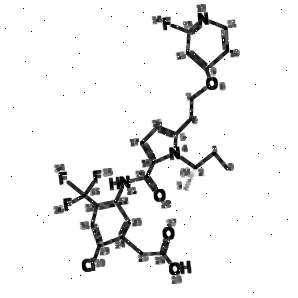 CC[C@H](C)n1c(CCOc2ccnc(F)c2)ccc1C(=O)Nc1cc(CC(=O)O)c(Cl)cc1C(F)(F)F